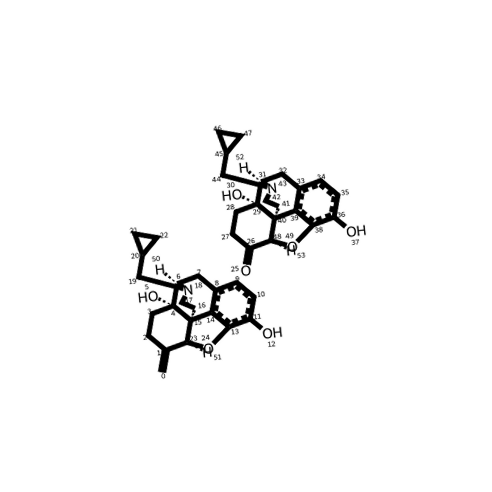 C=C1CC[C@@]2(O)[C@H]3Cc4ccc(O)c5c4[C@@]2(CCN3CC2CC2)[C@H]1O5.O=C1CC[C@@]2(O)[C@H]3Cc4ccc(O)c5c4[C@@]2(CCN3CC2CC2)[C@H]1O5